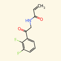 C=CC(=O)NCC(=O)c1cccc(F)c1F